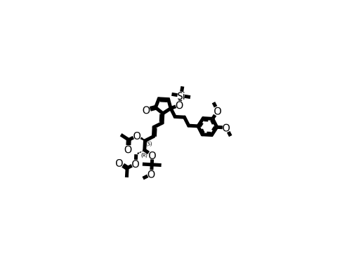 COc1ccc(CCCC2(O[Si](C)(C)C)C=CC(=O)C2=CC=C[C@H](OC(C)=O)[C@@H](COC(C)=O)OC(C)(C)OC)cc1OC